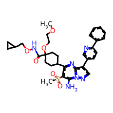 COCCOC1(C(=O)NOCC2CC2)CCC(c2nc3c(-c4ccc(-c5ccccc5)nc4)cnn3c(N)c2S(C)(=O)=O)CC1